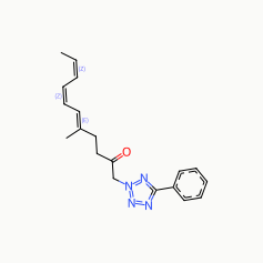 C\C=C/C=C\C=C(/C)CCC(=O)Cn1nnc(-c2ccccc2)n1